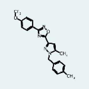 Cc1ccc(Cn2nc(-c3nc(-c4ccc(OC(F)(F)F)cc4)no3)cc2C)cc1